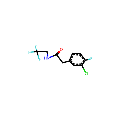 O=C(Cc1ccc(F)c(Cl)c1)NCC(F)(F)F